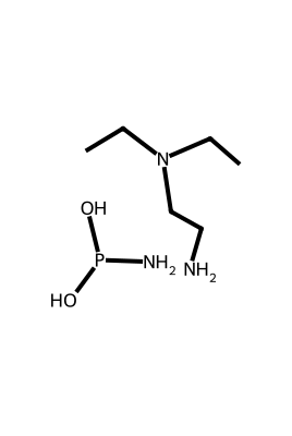 CCN(CC)CCN.NP(O)O